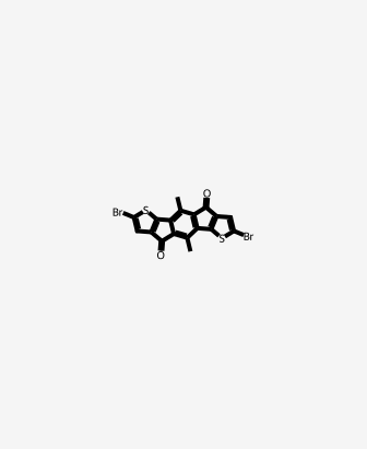 Cc1c2c(=O)c3cc(Br)sc3c2c(C)c2c(=O)c3cc(Br)sc3c12